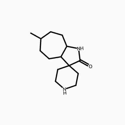 CC1CCC2NC(=O)C3(CCNCC3)C2CC1